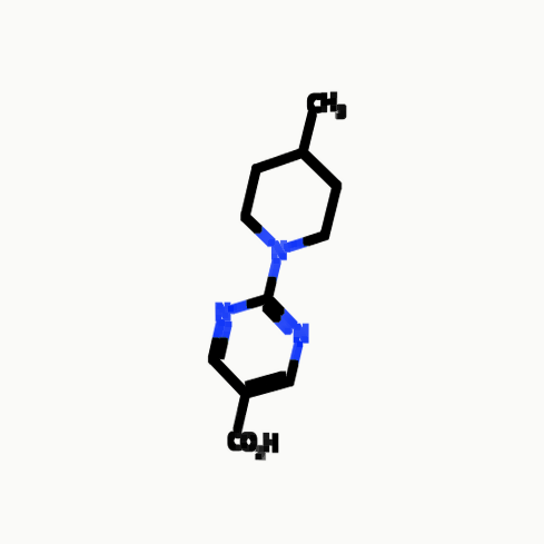 CC1CCN(c2ncc(C(=O)O)cn2)CC1